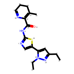 CCc1cc(-c2cnc(NC(=O)C3=C(C)CCC=N3)s2)n(CC)n1